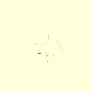 CC1=NC2C[C@@H]2C(C)=C1C